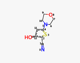 N#Cc1sc(N2CCOCC2)cc1O